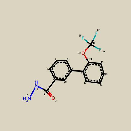 NNC(=O)c1cccc(-c2ccccc2OC(F)(F)F)c1